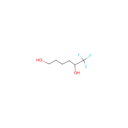 OCCCCC(O)C(F)(F)F